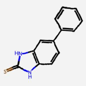 S=c1[nH]c2ccc(-c3ccccc3)cc2[nH]1